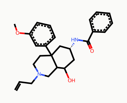 C=CCN1CCC2(c3cccc(OC)c3)C[C@H](NC(=O)c3ccccc3)CC(O)C2C1